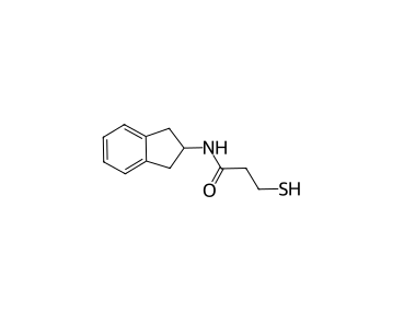 O=C(CCS)NC1Cc2ccccc2C1